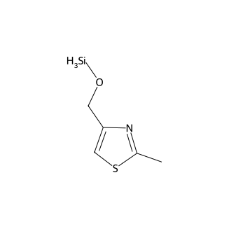 Cc1nc(CO[SiH3])cs1